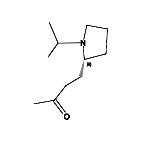 CC(=O)CC[C@H]1CCCN1C(C)C